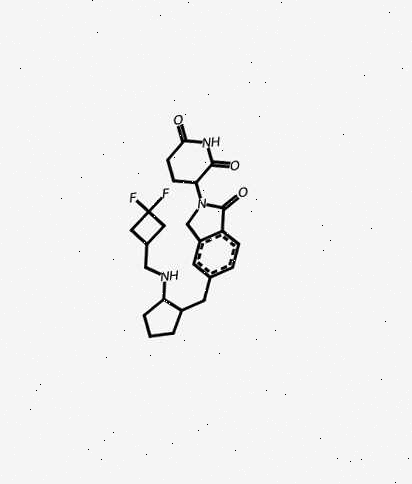 O=C1CCC(N2Cc3cc(CC4CCCC4NCC4CC(F)(F)C4)ccc3C2=O)C(=O)N1